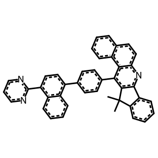 CC1(C)c2ccccc2-c2nc3ccc4ccccc4c3c(-c3ccc(-c4ccc(-c5ncccn5)c5ccccc45)cc3)c21